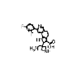 NCC1(c2[nH]c3c(c2C(=O)O)CCc2cnc(-c4ccc(F)nc4F)cc2-3)CNC1